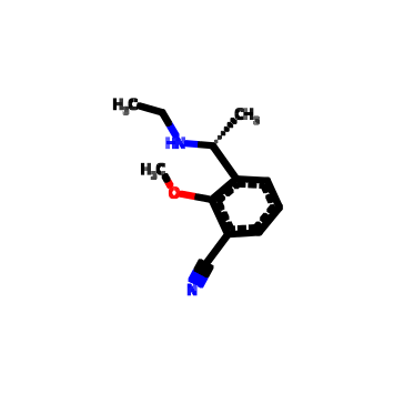 CCN[C@H](C)c1cccc(C#N)c1OC